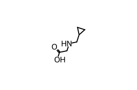 O=C(O)CNCC1CC1